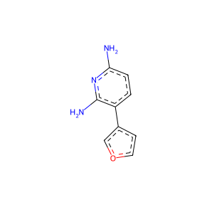 Nc1ccc(-c2ccoc2)c(N)n1